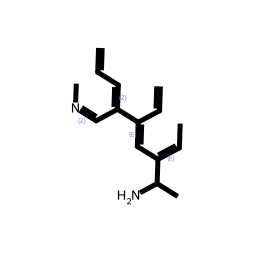 C=C/C=C(\C=N/C)C(/C=C)=C/C(=C\C)C(C)N